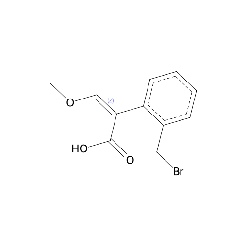 CO/C=C(\C(=O)O)c1ccccc1CBr